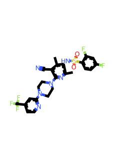 Cc1nc(N2CCN(c3cc(C(F)(F)F)ccn3)CC2)c(C#N)c(C)c1NS(=O)(=O)c1ccc(F)cc1F